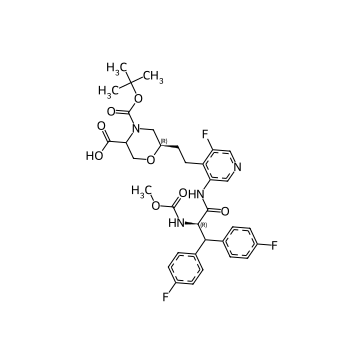 COC(=O)N[C@@H](C(=O)Nc1cncc(F)c1CC[C@@H]1CN(C(=O)OC(C)(C)C)C(C(=O)O)CO1)C(c1ccc(F)cc1)c1ccc(F)cc1